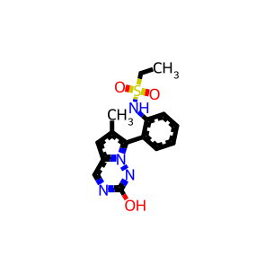 CCS(=O)(=O)Nc1ccccc1-c1c(C)cc2cnc(O)nn12